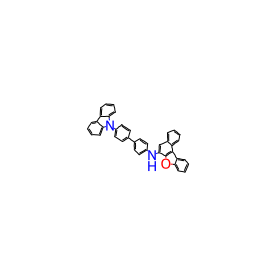 c1ccc2c(c1)cc(Nc1ccc(-c3ccc(-n4c5ccccc5c5ccccc54)cc3)cc1)c1oc3ccccc3c12